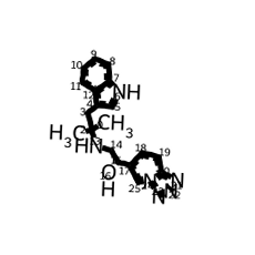 CC(C)(Cc1c[nH]c2ccccc12)NCC(O)c1ccc2nnnn2c1